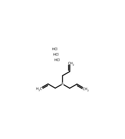 C=CCP(CC=C)CC=C.Cl.Cl.Cl